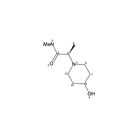 CNC(=O)[C@@H](C)N1CCC(O)CC1